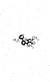 CCN1Cc2nc3c(-c4cnccc4C)cccc3c(N)c2C1C=O